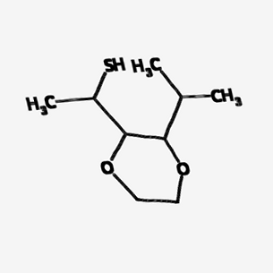 CC(C)C1OCCOC1C(C)S